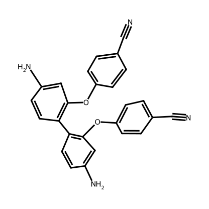 N#Cc1ccc(Oc2cc(N)ccc2-c2ccc(N)cc2Oc2ccc(C#N)cc2)cc1